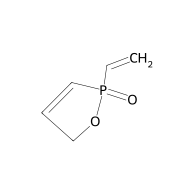 C=CP1(=O)C=CCO1